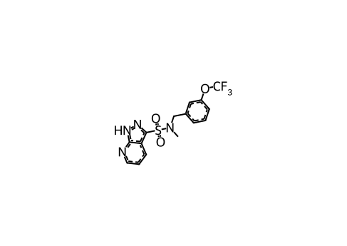 CN(Cc1cccc(OC(F)(F)F)c1)S(=O)(=O)c1n[nH]c2ncccc12